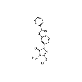 CCSc1nn(-c2ccc3nc(-c4cccnc4)sc3c2)c(=O)n1C